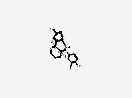 OC1=C(F)CC([C@@H]2Nc3ccc(Cl)cc3[C@H]3OCCC[C@H]32)C=C1